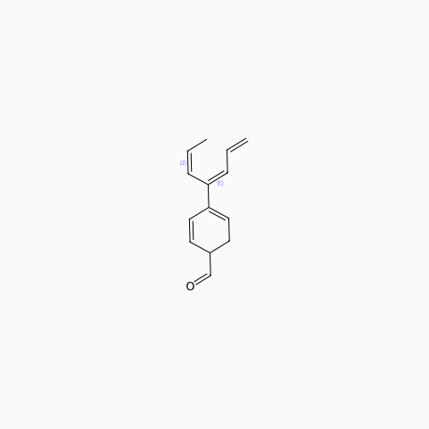 C=C/C=C(\C=C/C)C1=CCC(C=O)C=C1